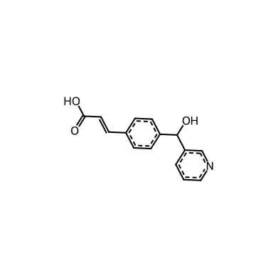 O=C(O)C=Cc1ccc(C(O)c2cccnc2)cc1